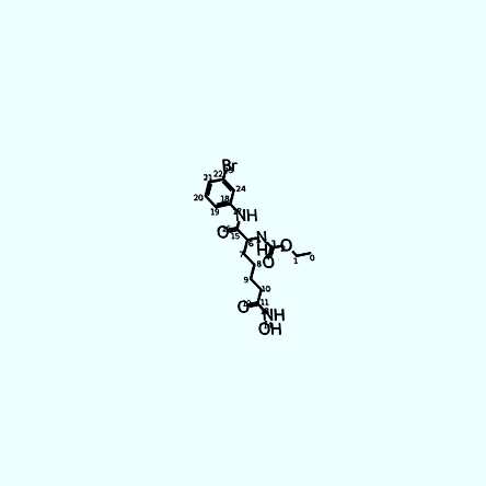 CCOC(=O)NC(CCCCC(=O)NO)C(=O)Nc1cccc(Br)c1